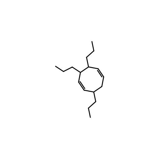 CCCC1C=CC(CCC)C(CCC)C=CC1